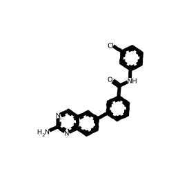 Nc1ncc2cc(-c3cccc(C(=O)Nc4cccc(Cl)c4)c3)ccc2n1